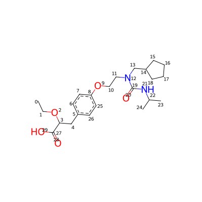 CCOC(Cc1ccc(OCCN(CC2CCCC2)C(=O)NC(C)C)cc1)C(=O)O